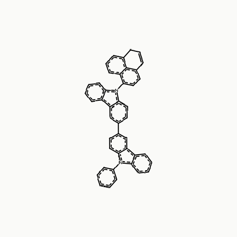 C1=Cc2ccc(-n3c4ccccc4c4cc(-c5ccc6c(c5)c5ccccc5n6-c5ccccc5)ccc43)c3cccc(c23)C1